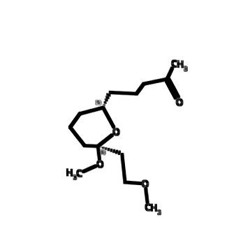 COCC[C@]1(OC)CCC[C@H](CCCC(C)=O)O1